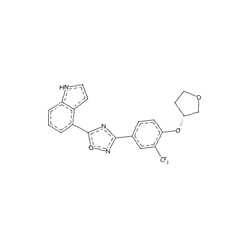 FC(F)(F)c1cc(-c2noc(-c3cccc4[nH]ccc34)n2)ccc1O[C@@H]1CCOC1